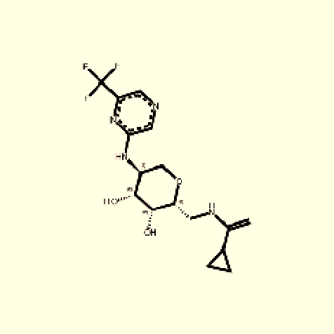 C=C(NC[C@H]1OC[C@H](Nc2cncc(C(F)(F)F)n2)[C@@H](O)[C@H]1O)C1CC1